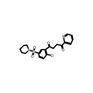 O=C(CCC(=O)c1cc(S(=O)(=O)N2CCCCC2)ccc1Cl)c1ccccn1